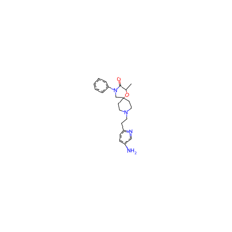 CC1OC2(CCN(CCc3ccc(N)cn3)CC2)CN(c2ccccc2)C1=O